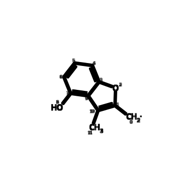 [CH2]c1oc2cccc(O)c2c1C